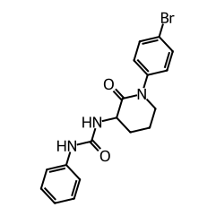 O=C(Nc1ccccc1)NC1CCCN(c2ccc(Br)cc2)C1=O